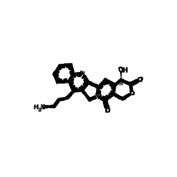 NCCCc1c2c(nc3ccccc13)-c1cc3c(c(=O)n1C2)COC(=O)[C@H]3O